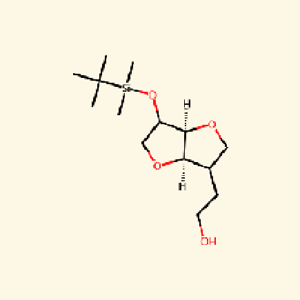 CC(C)(C)[Si](C)(C)OC1CO[C@@H]2C(CCO)CO[C@H]12